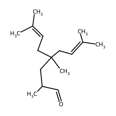 CC(C)=CCC(C)(CC=C(C)C)CC(C)C=O